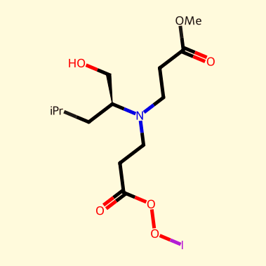 COC(=O)CCN(CCC(=O)OOI)[C@H](CO)CC(C)C